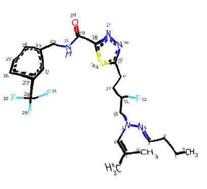 CCC/C=N/N(C=C(C)C)CC(F)CCc1nnc(C(=O)NCc2cccc(C(F)(F)F)c2)s1